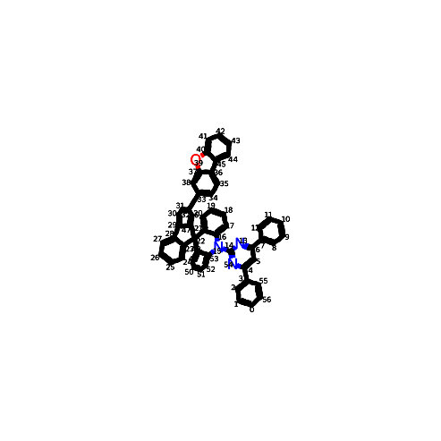 c1ccc(-c2cc(-c3ccccc3)nc(N3c4ccccc4C4(c5ccccc5-c5ccc(-c6ccc7c(c6)oc6ccccc67)cc54)c4ccccc43)n2)cc1